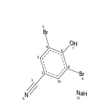 N#Cc1cc(Br)c(O)c(Br)c1.[NaH]